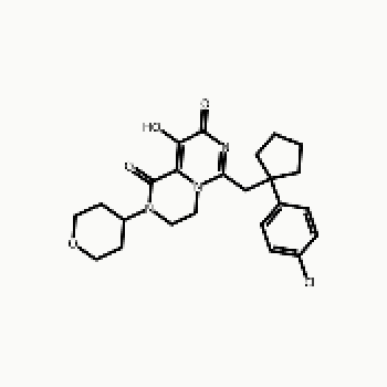 O=C1c2c(O)c(=O)nc(CC3(c4ccc(Cl)cc4)CCCC3)n2CCN1C1CCOCC1